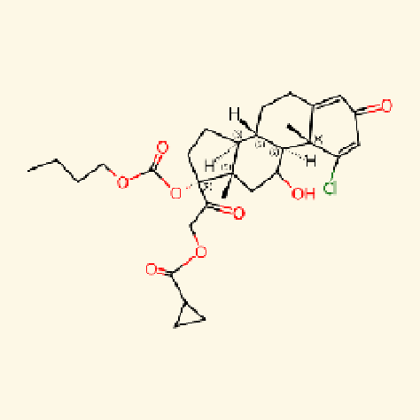 CCCCOC(=O)O[C@]1(C(=O)COC(=O)C2CC2)CC[C@H]2[C@@H]3CCC4=CC(=O)C=C(Cl)[C@]4(C)[C@H]3C(O)C[C@@]21C